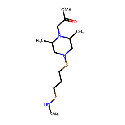 COC(=O)CN1C(C)CN(SCCCSNSC)CC1C